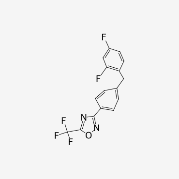 Fc1ccc(Cc2ccc(-c3noc(C(F)(F)F)n3)cc2)c(F)c1